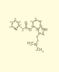 CN(C)CCc1c[nH]c2cccc(OC(=O)Cc3ccccn3)c12